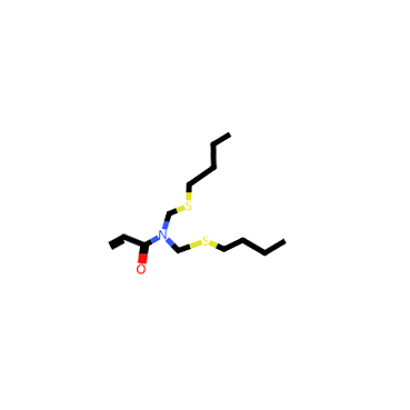 C=CC(=O)N(CSCCCC)CSCCCC